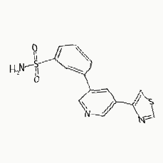 NS(=O)(=O)c1cccc(-c2cncc(-c3cscn3)c2)c1